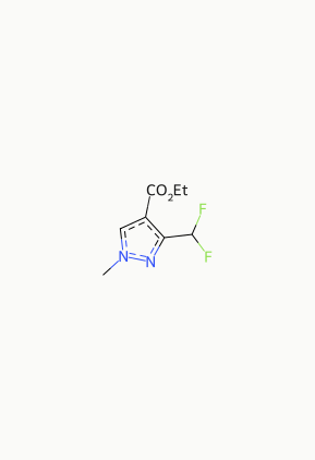 CCOC(=O)c1cn(C)nc1C(F)F